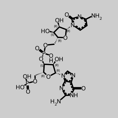 Nc1ccn([C@@H]2O[C@H](COP(=O)(O)O[C@H]3[C@@H](O)[C@H](n4cnc5c(=O)[nH]c(N)nc54)O[C@@H]3COP(=O)(O)O)[C@@H](O)[C@H]2O)c(=O)n1